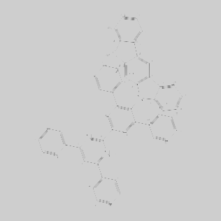 C1=CC(c2cc(-c3nc(-c4ccccc4)cc(-c4ccccc4)n3)cc(-c3ccccc3)c2-n2c3ccccc3c3cc4c(cc32)sc2ccccc24)=CCC1